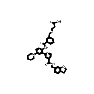 O=C(O)CCSCc1cccc(C(=O)Nc2ccc(N3CCCCC3)cc2-c2cc(C(=O)NCc3ccc4c(c3)OCC4)ccn2)c1